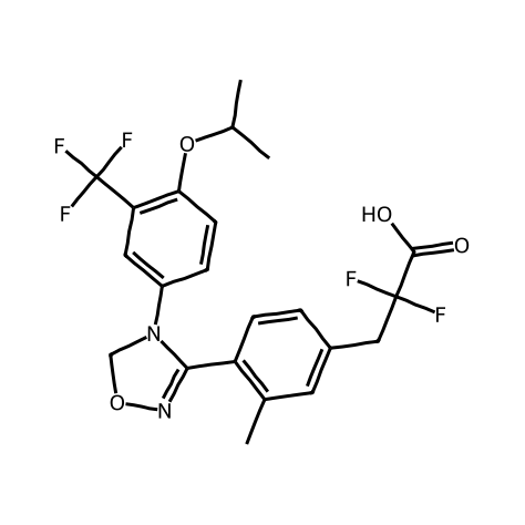 Cc1cc(CC(F)(F)C(=O)O)ccc1C1=NOCN1c1ccc(OC(C)C)c(C(F)(F)F)c1